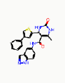 CC1=C(C(=O)Nc2ccc3[nH]ncc3c2)C(c2cc(-c3ccccc3)cs2)NC(=O)N1